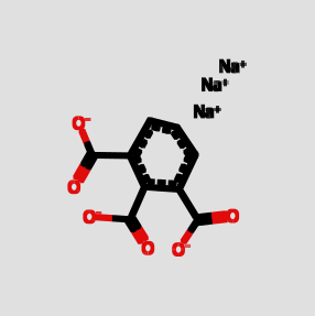 O=C([O-])c1cccc(C(=O)[O-])c1C(=O)[O-].[Na+].[Na+].[Na+]